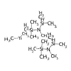 CN([SiH](C)C)[Si](C)(C)C.CN([SiH](C)C)[Si](C)(C)C.[CH3][Ti][CH3]